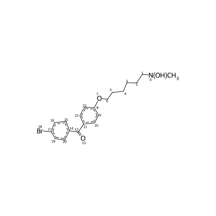 CN(O)CCCCCCOc1ccc(C(=O)c2ccc(Br)cc2)cc1